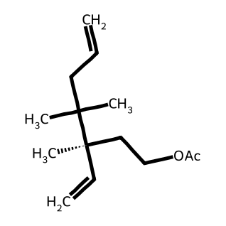 C=CCC(C)(C)[C@](C)(C=C)CCOC(C)=O